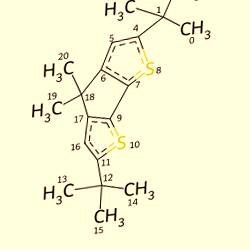 CC(C)(C)c1cc2c(s1)-c1sc(C(C)(C)C)cc1C2(C)C